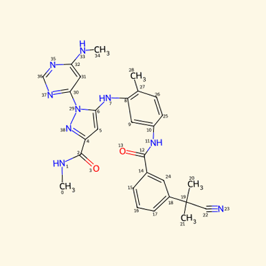 CNC(=O)c1cc(Nc2cc(NC(=O)c3cccc(C(C)(C)C#N)c3)ccc2C)n(-c2cc(NC)ncn2)n1